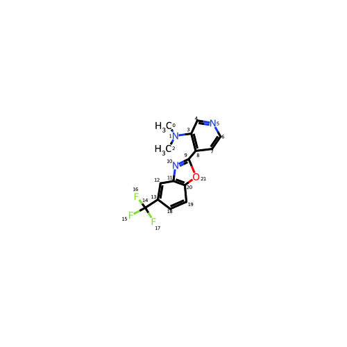 CN(C)c1cnccc1-c1nc2cc(C(F)(F)F)ccc2o1